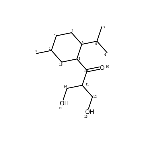 CC1CCC(C(C)C)C(C(=O)C(CO)CO)C1